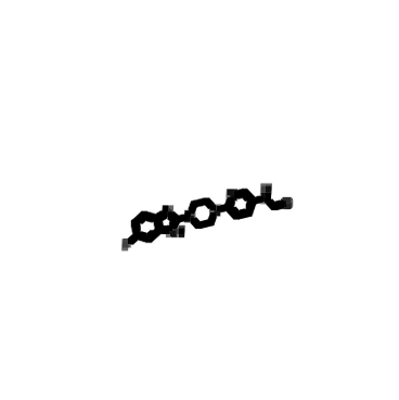 O=CNc1ccc(N2CCN(c3nc4ccc(F)cc4[nH]3)CC2)nc1